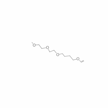 C=COCCCCOCCOCCOC